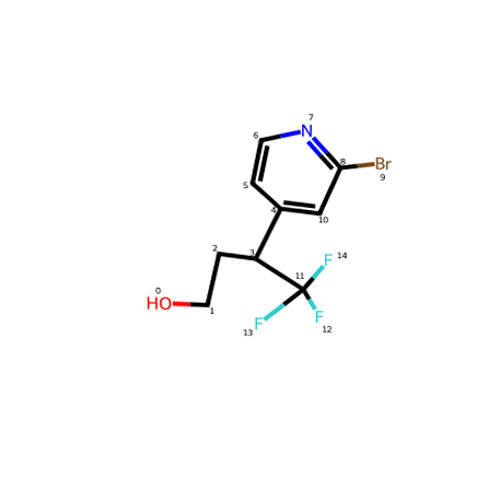 OCCC(c1ccnc(Br)c1)C(F)(F)F